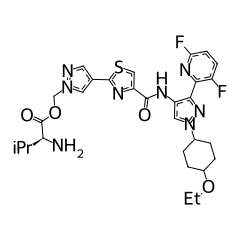 CCOC1CCC(n2cc(NC(=O)c3csc(-c4cnn(COC(=O)[C@@H](N)C(C)C)c4)n3)c(-c3nc(F)ccc3F)n2)CC1